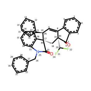 O=C1c2ccccc2C2=C[C@H](c3ccccc3)[C@@]3(C[C@]12C(F)F)C(=O)N(Cc1ccccc1)c1ccccc13